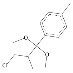 COC(OC)(c1ccc(C)cc1)C(C)CCl